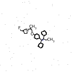 CC/C(=C(\c1ccccc1)c1ccc(OC[C@H](C)N2CC[C@@H](CF)C2)cc1)c1ccccc1